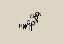 N#Cc1ccc(O[C@H]2CC[C@H](NC(=O)c3cn[nH]c3)CC2)cc1Cl